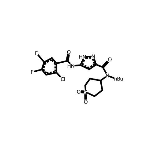 CCCCN(C(=O)c1cc(NC(=O)c2cc(F)c(F)cc2Cl)[nH]n1)C1CCS(=O)(=O)CC1